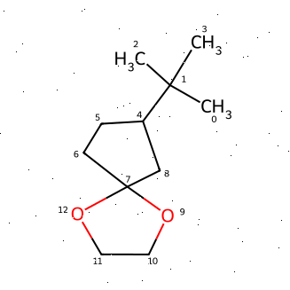 CC(C)(C)C1CCC2(C1)OCCO2